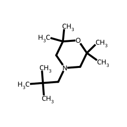 CC(C)(C)CN1CC(C)(C)OC(C)(C)C1